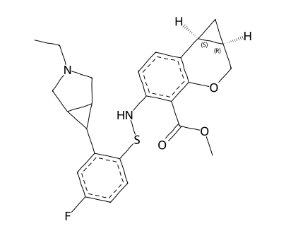 CCN1CC2C(C1)C2c1cc(F)ccc1SNc1ccc2c(c1C(=O)OC)OC[C@@H]1C[C@H]21